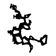 COc1cc2ncc3c(c(-c4ccc(F)c(C(=O)NCCO)c4)nn3C)c2cc1OCc1ccccc1